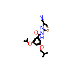 CC(C)COc1cc(OC(C)C)cc(C(=O)NC2=NC(C#N)CS2)c1